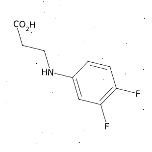 O=C(O)CCNc1ccc(F)c(F)c1